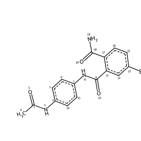 CC(=O)Nc1ccc(NC(=O)c2cc(Br)ccc2C(N)=O)cc1